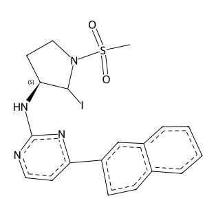 CS(=O)(=O)N1CC[C@H](Nc2nccc(-c3ccc4ccccc4c3)n2)C1I